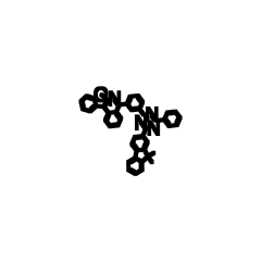 CC1(C)c2ccccc2-c2ccc(-c3nc(-c4ccccc4)nc(-c4cccc(-c5nc6oc7ccccc7c6c6ccccc56)c4)n3)cc21